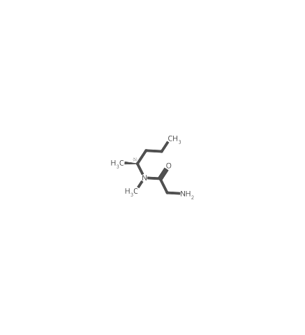 CCC[C@H](C)N(C)C(=O)CN